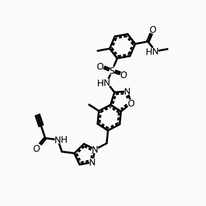 C#CC(=O)NCc1cnn(Cc2cc(C)c3c(NS(=O)(=O)c4cc(C(=O)NC)ccc4C)noc3c2)c1